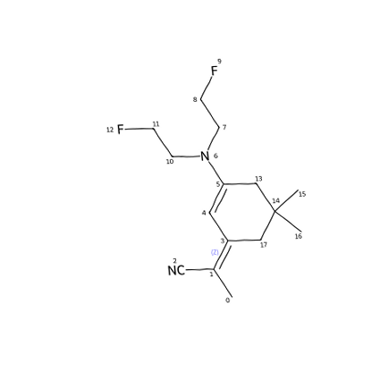 C/C(C#N)=C1/C=C(N(CCF)CCF)CC(C)(C)C1